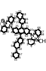 CN1C2=C(CCC=C2)N(c2ccc3c(-c4ccc5ccccc5c4)c4cc(N5c6ccccc6N(C)c6ccccc65)ccc4c(-c4ccc5cc(-c6ccccc6)ccc5c4)c3c2)c2ccccc21